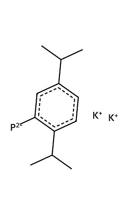 CC(C)c1ccc(C(C)C)c([P-2])c1.[K+].[K+]